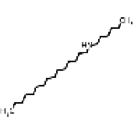 CCCCCCCCCCCCCCCNCCCCCC